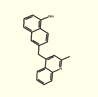 Cc1cc(Cc2ccc3c([NH])cccc3c2)c2ccccc2n1